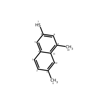 Cc1ccc2cc(S)cc(C)c2c1